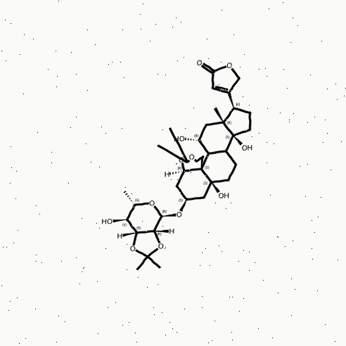 C[C@@H]1O[C@@H](O[C@H]2C[C@H]3OC(C)(C)OCC[C@]34C3C(CC[C@]4(O)C2)[C@@]2(O)CC[C@H](C4=CC(=O)OC4)[C@@]2(C)C[C@H]3O)[C@@H]2OC(C)(C)O[C@@H]2[C@H]1O